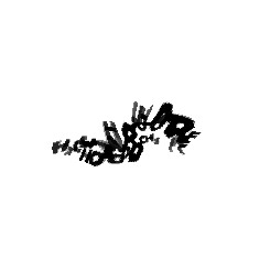 CSCC[C@H](NC(=O)c1ccc(COCc2ccc(-c3ccc(C(F)(F)F)cc3)o2)cc1-c1ccccc1C)C(=O)O.[LiH]